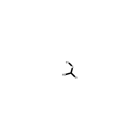 CCSC(S)CC